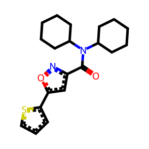 O=C(c1cc(-c2cccs2)on1)N(C1CCCCC1)C1CCCCC1